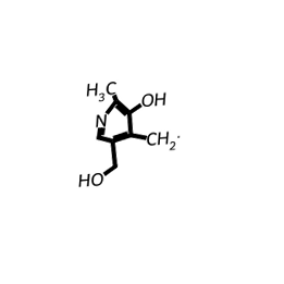 [CH2]c1c(CO)cnc(C)c1O